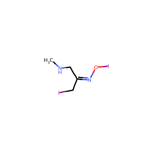 CNC/C(CI)=N\OI